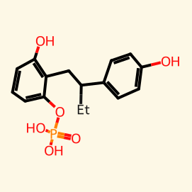 CCC(Cc1c(O)cccc1OP(=O)(O)O)c1ccc(O)cc1